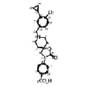 O=C(O)c1ccc(N2CC3(CCN(Cc4ccc(Cl)c(C5CC5)c4)CC3)OC2=O)cc1